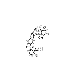 C[C@H](Cc1ccc(S(=O)(=O)c2cccc(Cl)c2C(=O)O)cc1)NC(C(=O)OC(C)(C)C)[C@H](O)c1cccc(Cl)c1